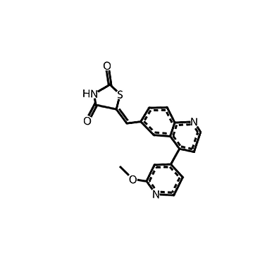 COc1cc(-c2ccnc3ccc(/C=C4\SC(=O)NC4=O)cc23)ccn1